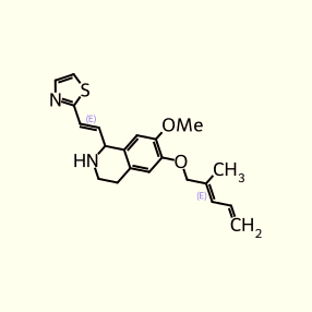 C=C/C=C(\C)COc1cc2c(cc1OC)C(/C=C/c1nccs1)NCC2